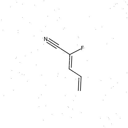 C=C/C=C(\F)C#N